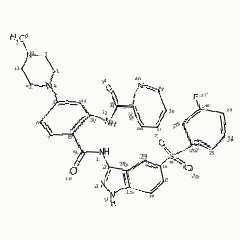 CN1CCN(c2ccc(C(=O)Nc3n[nH]c4ccc(S(=O)(=O)c5cccc(F)c5)cc34)c(NC(=O)c3ccccn3)c2)CC1